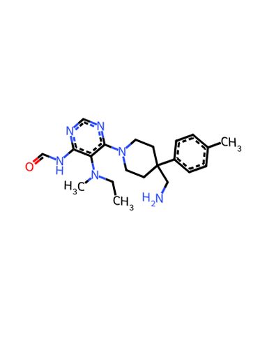 CCN(C)c1c(NC=O)ncnc1N1CCC(CN)(c2ccc(C)cc2)CC1